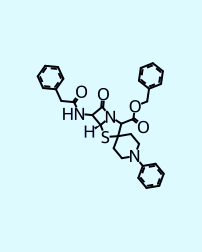 O=C(Cc1ccccc1)NC1C(=O)N2C(C(=O)OCc3ccccc3)C3(CCN(c4ccccc4)CC3)S[C@H]12